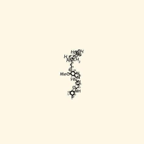 COc1cc2c(Nc3ncc(CC(=O)Nc4cccc(F)c4)s3)ncnc2cc1OCCCNC(C)(C)COP(=O)(O)O